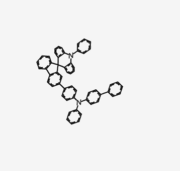 c1ccc(-c2ccc(N(c3ccccc3)c3ccc(-c4ccc5c(c4)C4(c6ccccc6-5)c5ccccc5N(c5ccccc5)c5ccccc54)cc3)cc2)cc1